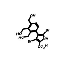 O=C(O)c1[nH]c(Br)c(-c2ccc(CO)c(CO)c2CO)c1Br